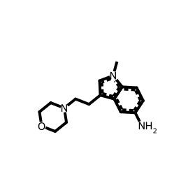 Cn1cc(CCN2CCOCC2)c2cc(N)ccc21